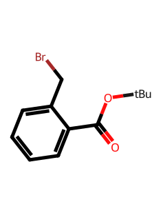 CC(C)(C)OC(=O)c1ccccc1CBr